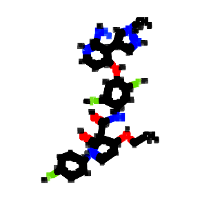 CCOc1ccn(-c2ccc(F)cc2)c(=O)c1C(=O)Nc1cc(F)c(Oc2ccnc(N)c2-c2cnn(C)c2)cc1F